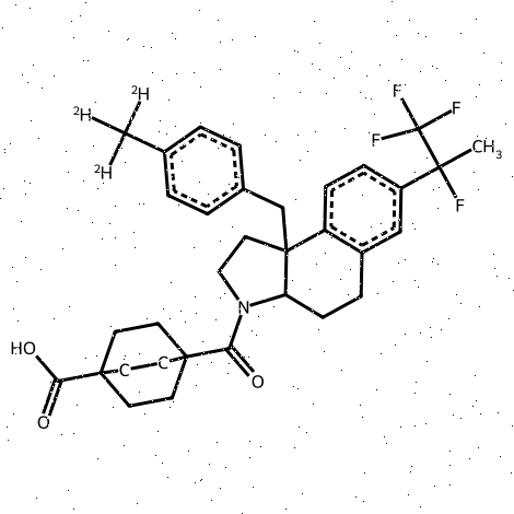 [2H]C([2H])([2H])c1ccc(CC23CCN(C(=O)C45CCC(C(=O)O)(CC4)CC5)C2CCc2cc(C(C)(F)C(F)(F)F)ccc23)cc1